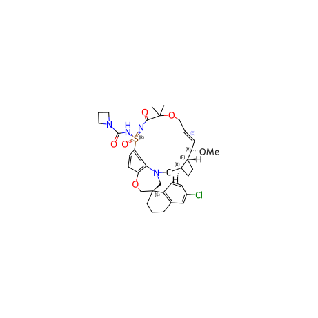 CO[C@H]1/C=C/COC(C)(C)C(=O)N=[S@](=O)(NC(=O)N2CCC2)c2ccc3c(c2)N(C[C@@H]2CC[C@H]21)C[C@@]1(CCCc2cc(Cl)ccc21)CO3